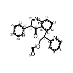 O=COCC(c1ccccn1)c1cccc2c1C(=O)C(c1ccccn1)C=N2